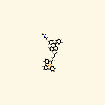 CN(C)CCOc1ccc(/C(=C(/C=C\CCCCCCCC[PH](c2ccccc2)(c2ccccc2)c2ccccc2)c2ccccc2)c2ccccc2)cc1